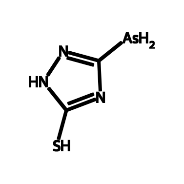 Sc1nc([AsH2])n[nH]1